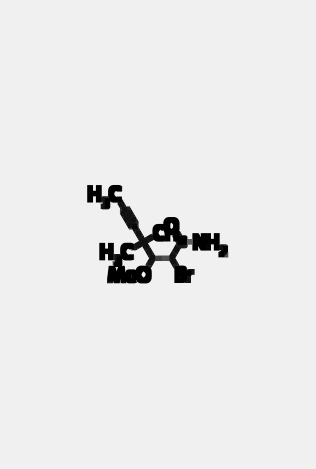 CC#CC(C)(C)C(OC)C(Br)C(N)=O